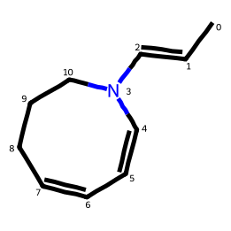 CC=CN1C=CC=CCCC1